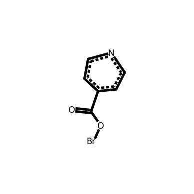 O=C(OBr)c1ccncc1